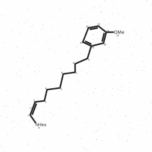 CCCCCC/C=C\CCCCCCCc1cccc(OC)c1